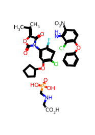 CC(C)=C1OC(=O)N(c2cc(OC3CCCC3)c(Cl)cc2F)C1=O.Nc1c([N+](=O)[O-])ccc(Oc2ccccc2)c1Cl.O=C(O)CNCP(=O)(O)O